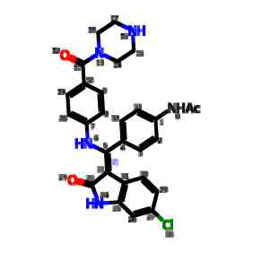 CC(=O)Nc1ccc(/C(Nc2ccc(C(=O)N3CCNCC3)cc2)=C2/C(=O)Nc3cc(Cl)ccc32)cc1